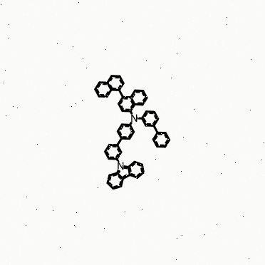 c1ccc(-c2cccc(N(c3ccc(-c4cccc(-n5c6ccccc6c6ccccc65)c4)cc3)c3ccc(-c4cccc5ccccc45)c4ccccc34)c2)cc1